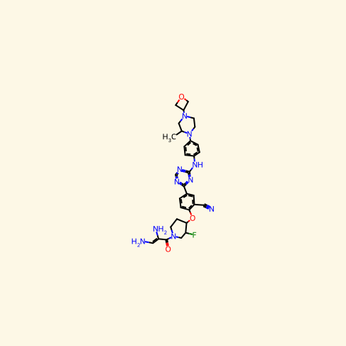 CC1CN(C2COC2)CCN1c1ccc(Nc2ncnc(-c3ccc(OC4CCN(C(=O)/C(N)=C/N)CC4F)c(C#N)c3)n2)cc1